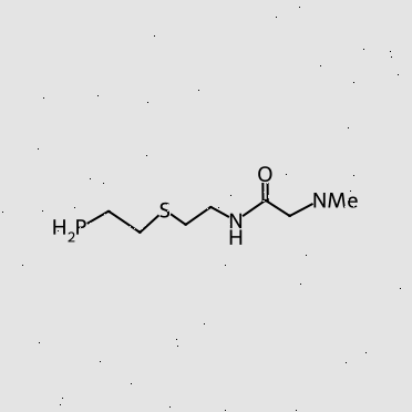 CNCC(=O)NCCSCCP